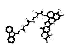 CC[C@@]1(O)C(=O)OCc2c1cc1n(c2=O)Cc2c-1nc1cc(F)c(C)c3c1c2[C@@H](NC(=O)C(OCNC(=O)CNC(=O)OCC1c2ccccc2-c2ccccc21)C(F)(F)F)CC3